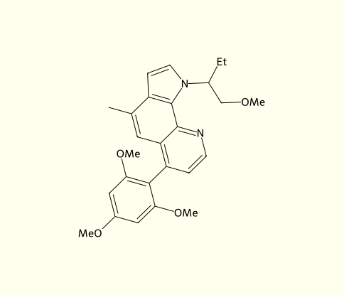 CCC(COC)n1ccc2c(C)cc3c(-c4c(OC)cc(OC)cc4OC)ccnc3c21